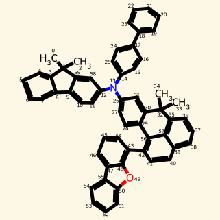 CC1(C)c2ccccc2-c2ccc(N(c3ccc(-c4ccccc4)cc3)c3ccc4c(c3)C(C)(C)c3cccc5ccc(-c6cccc7c6oc6ccccc67)c-4c35)cc21